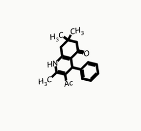 CC(=O)C1=C(C)NC2=C(C(=O)CC(C)(C)C2)C1c1ccccc1